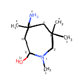 CN1CC(C)(C)CC(C)(N)CC1O